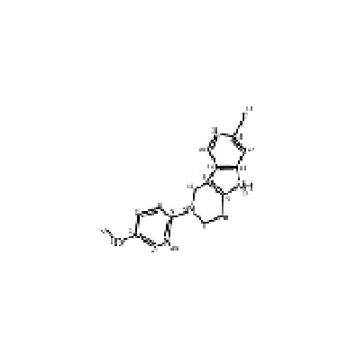 COc1ccc(N2CCc3[nH]c4cc(F)ccc4c3C2)nc1